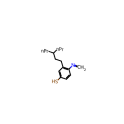 C=Nc1ccc(S)cc1CCC(CCC)CCC